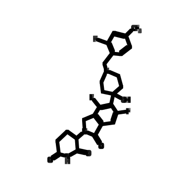 O=C1CCC(N2Cc3c(cc(F)c(C4(O)CCN(Cc5ccc(C(F)(F)F)cc5F)CC4)c3F)C2=O)C(=O)N1